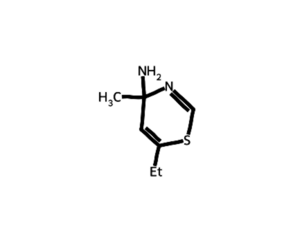 CCC1=CC(C)(N)N=CS1